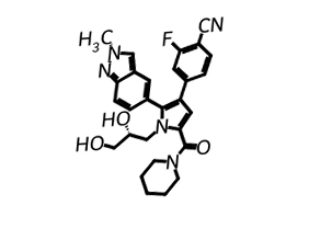 Cn1cc2cc(-c3c(-c4ccc(C#N)c(F)c4)cc(C(=O)N4CCCCC4)n3C[C@@H](O)CO)ccc2n1